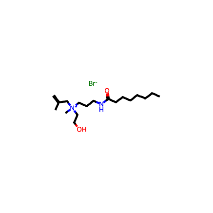 C=C(C)C[N+](C)(CCO)CCCNC(=O)CCCCCCC.[Br-]